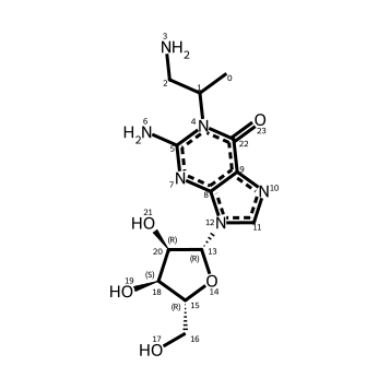 CC(CN)n1c(N)nc2c(ncn2[C@@H]2O[C@H](CO)[C@@H](O)[C@H]2O)c1=O